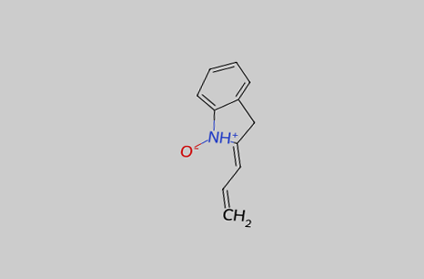 C=CC=C1Cc2ccccc2[NH+]1[O-]